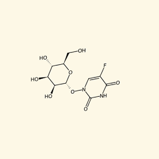 O=c1[nH]c(=O)n(O[C@H]2O[C@H](CO)[C@@H](O)[C@H](O)[C@@H]2O)cc1F